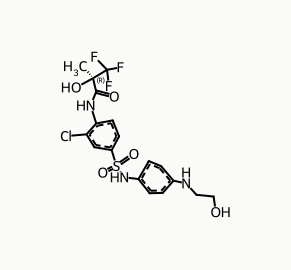 C[C@@](O)(C(=O)Nc1ccc(S(=O)(=O)Nc2ccc(NCCO)cc2)cc1Cl)C(F)(F)F